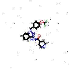 O=C(Nc1nn(Cc2ccc(OC(F)F)cc2)c2ccccc12)c1ccncc1